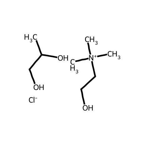 CC(O)CO.C[N+](C)(C)CCO.[Cl-]